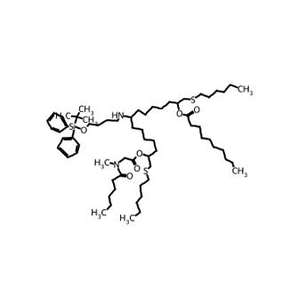 CCCCCCCCCC(=O)OC(CCCCCC(CCCCCC(CSCCCCCC)OC(=O)CN(C)C(=O)CCCCC)NCCCCO[Si](c1ccccc1)(c1ccccc1)C(C)(C)C)CSCCCCCC